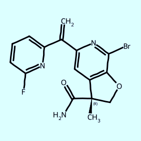 C=C(c1cccc(F)n1)c1cc2c(c(Br)n1)OC[C@]2(C)C(N)=O